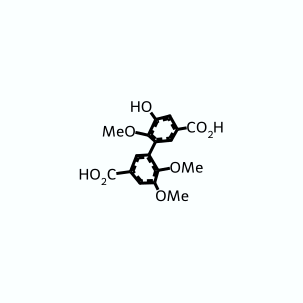 COc1cc(C(=O)O)cc(-c2cc(C(=O)O)cc(O)c2OC)c1OC